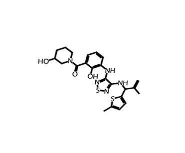 C=C(C)C(Nc1nsnc1Nc1cccc(C(=O)N2CCCC(O)C2)c1O)c1ccc(C)s1